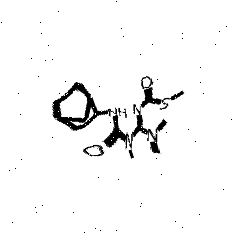 CSC(=O)N=C(N(C)C)N(C)C(=O)NC1CC2CCC1C2